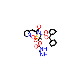 CC1(COC(=O)NC=N)[C@H](C(=O)OC(c2ccccc2)c2ccccc2)N2C(=O)/C(=C/c3ccccn3)C2S1(=O)=O